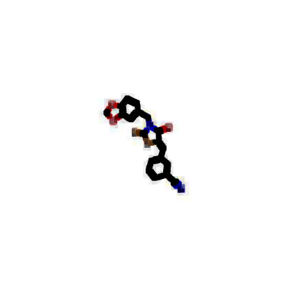 N#Cc1cccc(C=C2SC(=S)N(Cc3ccc4c(c3)OCO4)C2=O)c1